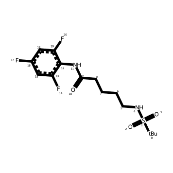 CC(C)(C)S(=O)(=O)NCCCCC(=O)Nc1c(F)cc(F)cc1F